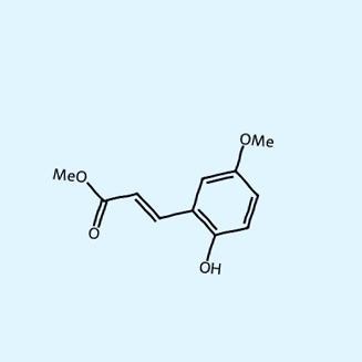 COC(=O)C=Cc1cc(OC)ccc1O